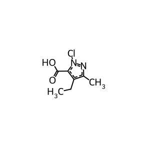 CCc1c(C)nn(Cl)c1C(=O)O